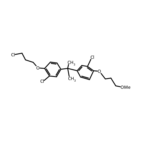 COCCCOc1ccc(C(C)(C)c2ccc(OCCCCl)c(Cl)c2)cc1Cl